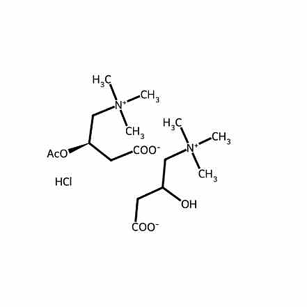 CC(=O)O[C@H](CC(=O)[O-])C[N+](C)(C)C.C[N+](C)(C)CC(O)CC(=O)[O-].Cl